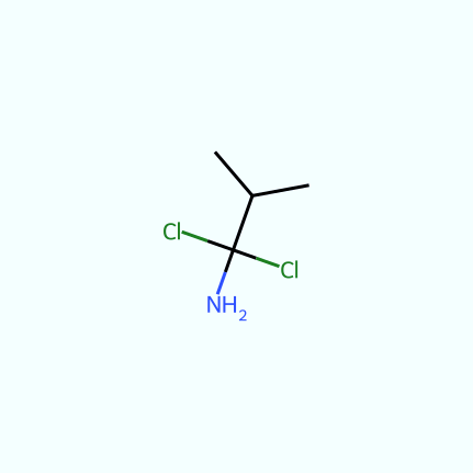 CC(C)C(N)(Cl)Cl